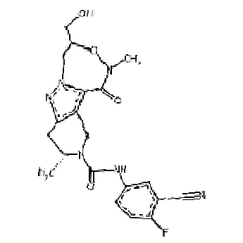 C[C@@H]1Cc2nn3c(c2CN1C(=O)Nc1ccc(F)c(C#N)c1)C(=O)N(C)OC(CO)C3